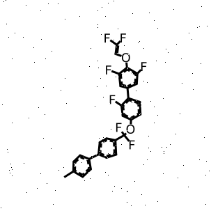 Cc1ccc(-c2ccc(C(F)(F)Oc3ccc(-c4cc(F)c(OC=C(F)F)c(F)c4)c(F)c3)cc2)cc1